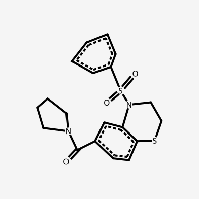 O=C(c1ccc2c(c1)N(S(=O)(=O)c1ccccc1)CCS2)N1CCCC1